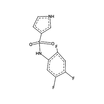 O=S(=O)(Nc1cc(F)c(F)cc1F)c1cc[nH]c1